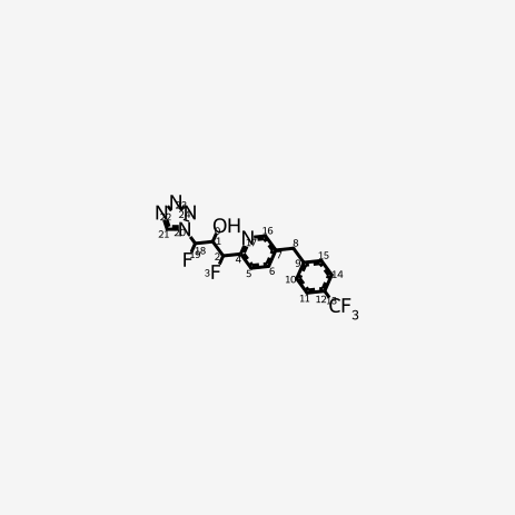 OC(C(F)c1ccc(Cc2ccc(C(F)(F)F)cc2)cn1)C(F)n1cnnn1